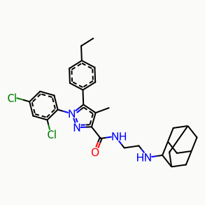 CCc1ccc(-c2c(C)c(C(=O)NCCNC3C4CC5CC(C4)CC3C5)nn2-c2ccc(Cl)cc2Cl)cc1